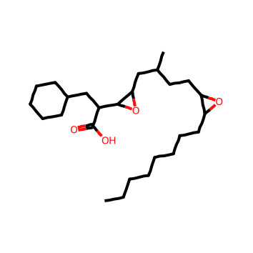 CCCCCCCCC1OC1CCC(C)CC1OC1C(CC1CCCCC1)C(=O)O